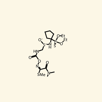 CCOP(=S)(OCC)C1(N[S+]([O-])CNC(=O)ON=C(SC)C(=O)N(C)C)CCCC1